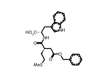 CSCC[C@H](CC(=O)OCc1ccccc1)C(=O)N[C@@H](Cc1c[nH]c2ccccc12)C(=O)O